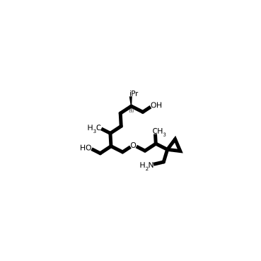 CC(CC[C@H](CO)C(C)C)C(CO)COCC(C)C1(CN)CC1